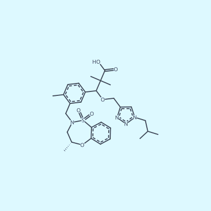 Cc1ccc(C(OCc2cn(CC(C)C)nn2)C(C)(C)C(=O)O)cc1CN1C[C@@H](C)Oc2ccccc2S1(=O)=O